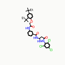 CCC(C)(C)c1ccc(OCC(=O)Nc2cccc(C(=O)NC3CC(=O)N(c4c(Cl)cc(Cl)cc4Cl)N3)c2)c(C(C)(C)CC)c1